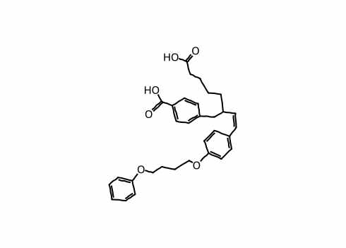 O=C(O)CCCCC(/C=C\c1ccc(OCCCCOc2ccccc2)cc1)Cc1ccc(C(=O)O)cc1